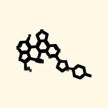 CN1CCN([C@@H]2CCN(c3ncc4c5c(c(-c6c(F)cnc7sc(N)c(C#N)c67)c(F)c4n3)COC5)C2)CC1